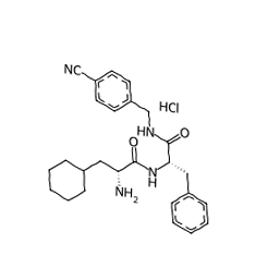 Cl.N#Cc1ccc(CNC(=O)[C@H](Cc2ccccc2)NC(=O)[C@H](N)CC2CCCCC2)cc1